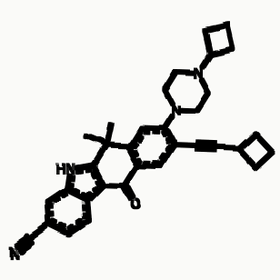 CC1(C)c2cc(N3CCN(C4CCC4)CC3)c(C#CC3CCC3)cc2C(=O)c2c1[nH]c1cc(C#N)ccc21